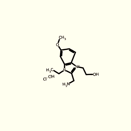 CCn1c(CN)[n+](CCO)c2ccc(OC)cc21.Cl.[Cl-]